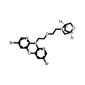 Brc1cnc2c(c1)Oc1cc(Br)cnc1N2CCOCCN1C[C@H]2C[C@@H]1CO2